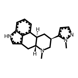 CN1C[C@H](c2ccnn2C)C[C@@H]2c3cccc4[nH]cc(c34)C[C@H]21